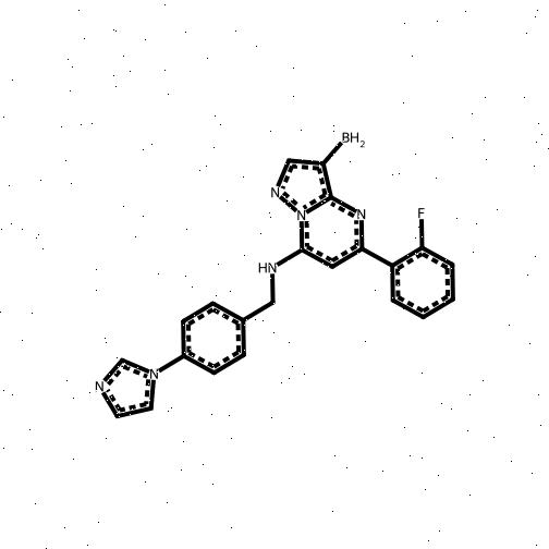 Bc1cnn2c(NCc3ccc(-n4ccnc4)cc3)cc(-c3ccccc3F)nc12